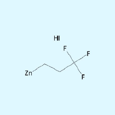 FC(F)(F)C[CH2][Zn].I